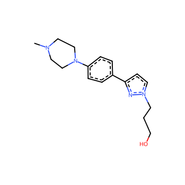 CN1CCN(c2ccc(-c3ccn(CCCO)n3)cc2)CC1